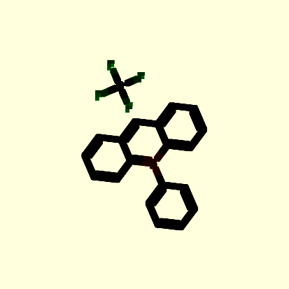 C1=c2ccccc2=S(c2ccccc2)c2ccccc21.F[B-](F)(F)F